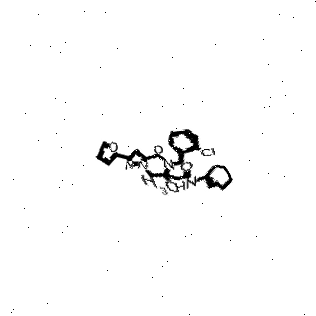 CC1(C(=O)NC2CCCCC2)Cn2nc(-c3ccco3)cc2C(=O)N1Cc1ccccc1Cl